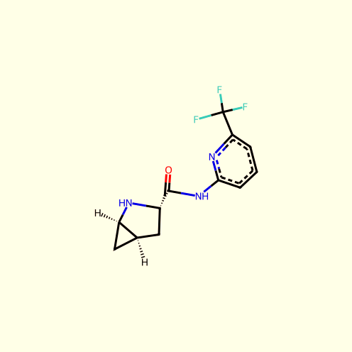 O=C(Nc1cccc(C(F)(F)F)n1)[C@@H]1C[C@H]2C[C@H]2N1